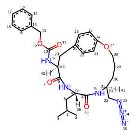 CC(C)C[C@@H]1NC(=O)[C@@H](NC(=O)OCc2ccccc2)Cc2ccc(cc2)OCCC[C@@H](CN=[N+]=[N-])NC1=O